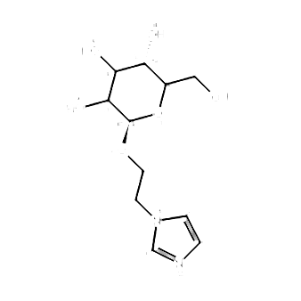 OCC1O[C@@H](OCCn2ccnc2)C(O)C(O)[C@@H]1O